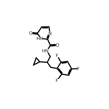 O=C(NCC(Cc1c(F)cc(F)cc1F)C1CC1)c1nccc(=O)[nH]1